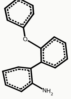 Nc1ccccc1-c1ccccc1Oc1ccccc1